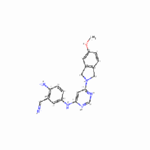 COc1ccc2c(c1)CN(c1cc(Nc3ccc(N)c(C=N)c3)ncn1)C2